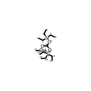 CC[Si](CC)(CC)OC(O[SiH2]C)O[Si](CC)(CC)CC